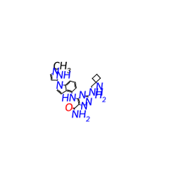 CN1C=CC(n2ccc3c(Nc4nc(NCC5(N)CCC5)nnc4C(N)=O)cccc32)N1